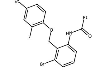 CCC(=O)Nc1cccc(Br)c1COc1ccc(CC)cc1C